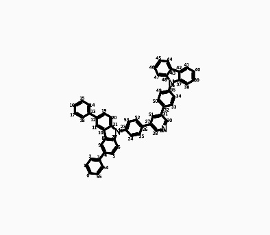 c1ccc(-c2ccc3c(c2)c2cc(-c4ccccc4)ccc2n3-c2ccc(-c3cncc(-c4ccc(-n5c6ccccc6c6ccccc65)cc4)c3)cc2)cc1